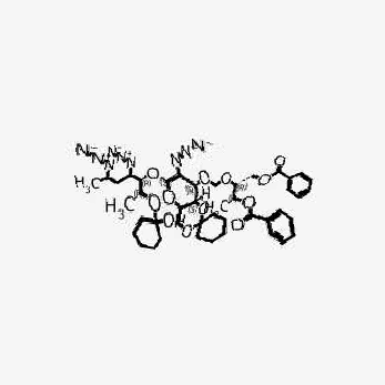 CC(CC(N=[N+]=[N-])[C@@H](O[C@H]1OC2COC3(CCCCC3)O[C@H]2[C@H](OCO[C@H](COC(=O)c2ccccc2)[C@@H](C)OC(=O)c2ccccc2)C1N=[N+]=[N-])[C@@H](C)OC1(O)CCCCC1)N=[N+]=[N-]